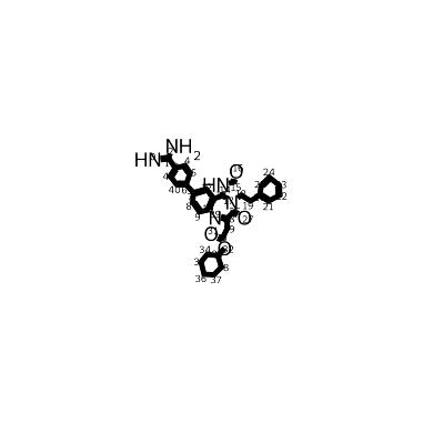 N=C(N)c1ccc(-c2ccc3c(c2)C(NC=O)N(CCc2ccccc2)C(=O)C(CC(=O)OC2CCCCC2)=N3)cc1